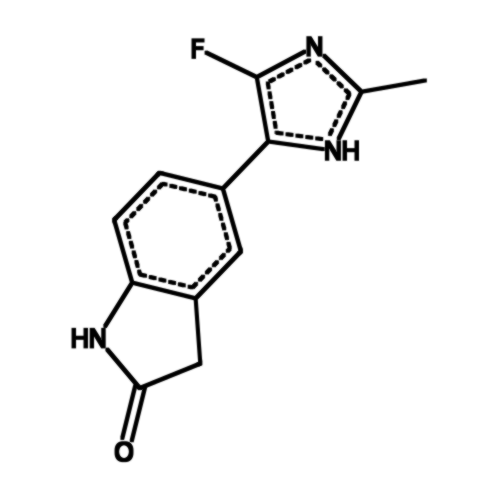 Cc1nc(F)c(-c2ccc3c(c2)CC(=O)N3)[nH]1